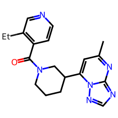 CCc1cnccc1C(=O)N1CCCC(c2cc(C)nc3ncnn23)C1